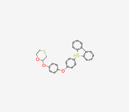 c1ccc2c(c1)-c1ccccc1[SH]2c1ccc(Oc2ccc(OC3CSCCO3)cc2)cc1